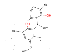 CCCC=C1C=C(C(C)(C)C)C(O)=C(C(CCC)c2c(C)ccc(C(C)(C)C)c2O)C1C